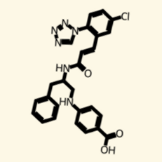 O=C(C=Cc1cc(Cl)ccc1-n1cnnn1)NC(CNc1ccc(C(=O)O)cc1)Cc1ccccc1